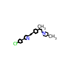 CC(=CCN1CCC(C)CC1)c1ccc(C#Cc2ccc(-c3ccc(Cl)cc3)cn2)cc1